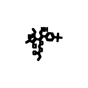 CCC(=O)OCO/C(=C(/C=N)c1ccc(C(C)(C)C)cc1)c1c(Cl)c(C)nn1CC